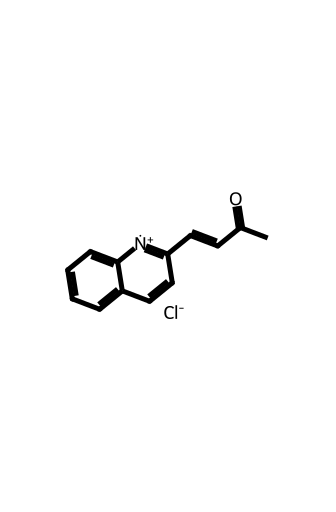 CC(=O)C=CC1=[N+]c2ccccc2C=C1.[Cl-]